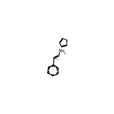 C1=CCC=C1.N/C=C/c1ccccc1